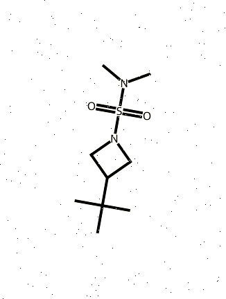 CN(C)S(=O)(=O)N1CC(C(C)(C)C)C1